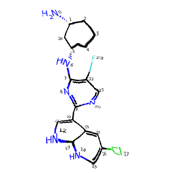 N[C@@H]1CCC[C@H](Nc2nc(C3=CNC4NC=C(Cl)C=C34)ncc2F)C1